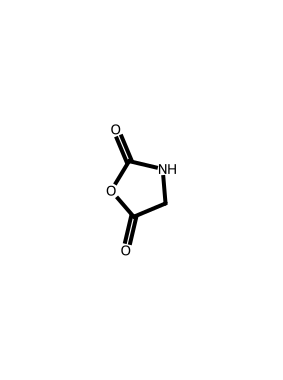 O=C1CNC(=O)O1